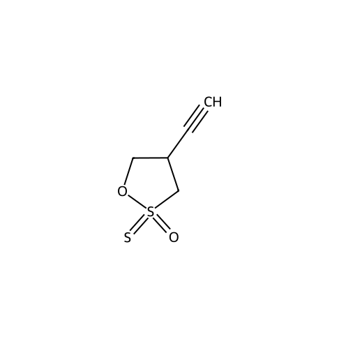 C#CC1COS(=O)(=S)C1